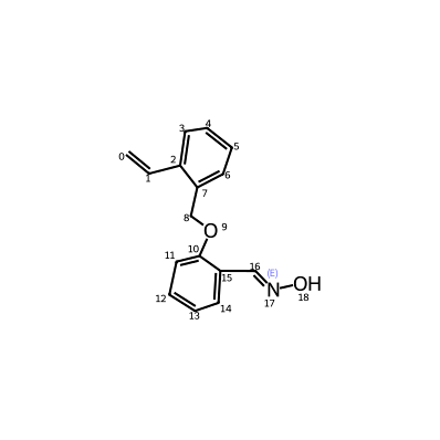 C=Cc1ccccc1COc1ccccc1/C=N/O